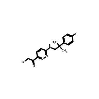 CC(C)(CNc1ccc(C(=O)CBr)nn1)c1ccc(F)cc1